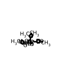 COc1ccc(CCN2C(=O)N(NS(=O)(=O)N3CCN(C)CC3)CC2c2ccc(C)c(C)c2)cc1